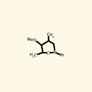 COC1C(C)CN(C(C)C)CC1C